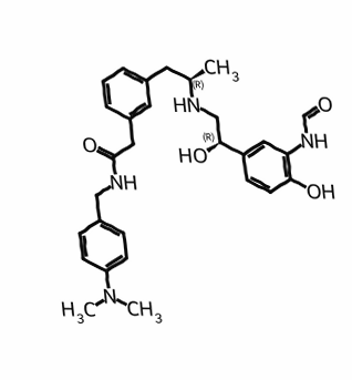 C[C@H](Cc1cccc(CC(=O)NCc2ccc(N(C)C)cc2)c1)NC[C@H](O)c1ccc(O)c(NC=O)c1